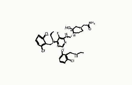 CCN(Cc1c(Cl)cccc1Cl)c1ncnc(NC[C@H]2CCN(CC(N)=O)C[C@@H]2O)c1F.CCNCc1c(Cl)cccc1Cl